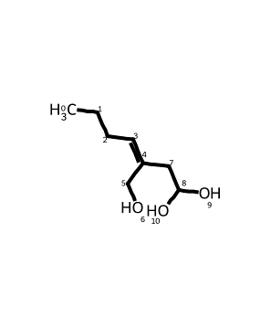 CCCC=C(CO)CC(O)O